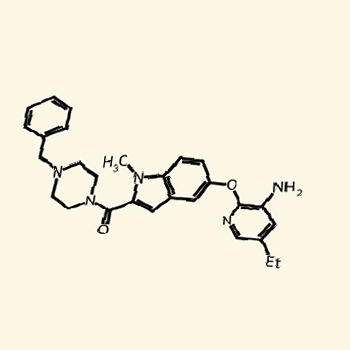 CCc1cnc(Oc2ccc3c(c2)cc(C(=O)N2CCN(Cc4ccccc4)CC2)n3C)c(N)c1